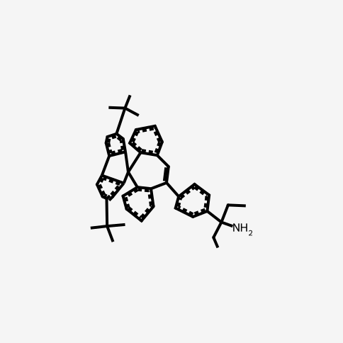 CCC(N)(CC)c1ccc(C2=Cc3ccccc3C3(c4ccccc42)c2cc(C(C)(C)C)ccc2-c2ccc(C(C)(C)C)cc23)cc1